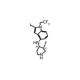 F[C@H]1CNCC[C@H]1Nc1cccc2c1cc(I)n2CC(F)(F)F